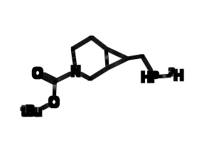 [2H]PCC1C2CCN(C(=O)OC(C)(C)C)CC21